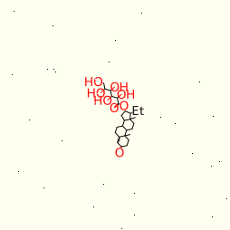 CCC1C(OC(=O)C(O)C(O)C(O)C(O)CO)CC2C3CCC4=CC(=O)CCC4(C)C3CCC12C